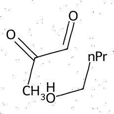 CC(=O)C=O.CCCCO